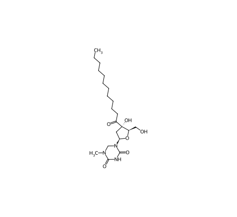 CCCCCCCCCCCC(=O)[C@]1(O)C[C@H](N2CN(C)C(=O)NC2=O)O[C@@H]1CO